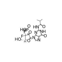 CC(C)C(=O)Nc1nc2c(ncn2[C@@H]2O[C@H](CO)C(F)(F)[C@H]2O[PH](=O)O)c(=O)[nH]1